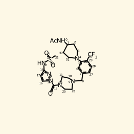 CC(=O)NC1CCN(c2cc(CN3CCN(C(=O)n4ccc(NS(C)(=O)=O)n4)CC3)ccc2C(F)(F)F)CC1